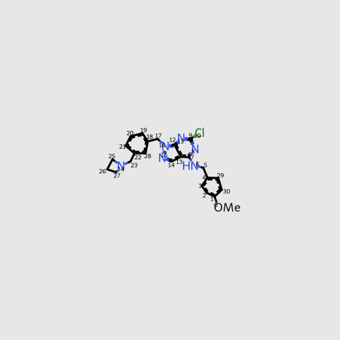 COc1ccc(CNc2nc(Cl)nc3c2cnn3Cc2cccc(CN3CCC3)c2)cc1